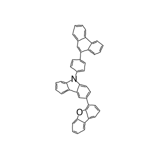 c1ccc2c(c1)cc(-c1ccc(-n3c4ccccc4c4cc(-c5cccc6c5oc5ccccc56)ccc43)cc1)c1ccccc12